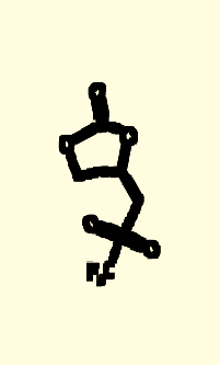 O=S1OCC(CS(=O)(=O)C(F)(F)F)O1